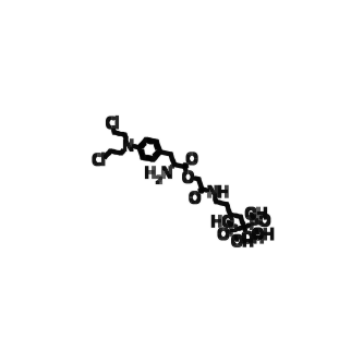 N[C@@H](Cc1ccc(N(CCCl)CCCl)cc1)C(=O)OCC(=O)NCCCCC(O)(P(=O)(O)O)P(=O)(O)O